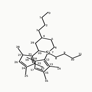 CCCCC1CC[Si](CCCC)(C2=C(C)C(C)=CC2C)C(C2=C(C)C(C)=CC2C)C1